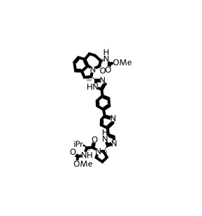 COC(=O)N[C@H]1CCc2cccc3c2N(C1=O)[C@H](c1ncc(-c2ccc(-c4ccc(-c5cnc([C@@H]6CCCN6C(=O)[C@@H](NC(=O)OC)C(C)C)[nH]5)cn4)cc2)[nH]1)C3